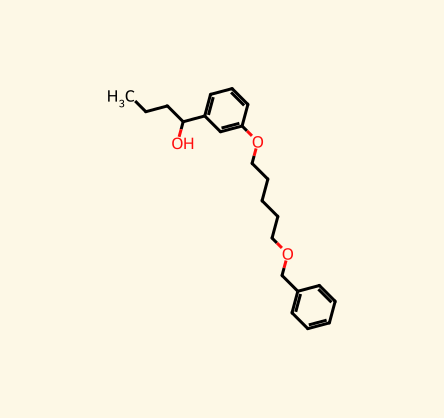 CCCC(O)c1cccc(OCCCCCOCc2ccccc2)c1